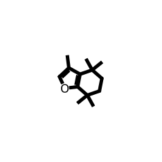 Cc1coc2c1C(C)(C)CCC2(C)C